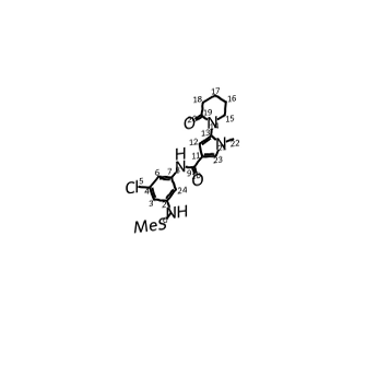 CSNc1cc(Cl)cc(NC(=O)c2cc(N3CCCCC3=O)n(C)c2)c1